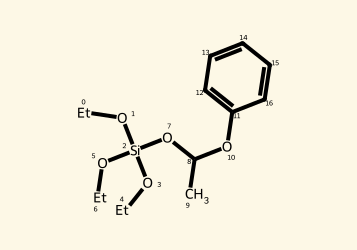 CCO[Si](OCC)(OCC)OC(C)Oc1ccccc1